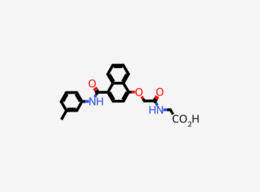 Cc1cccc(NC(=O)c2ccc(OCC(=O)NCC(=O)O)c3ccccc23)c1